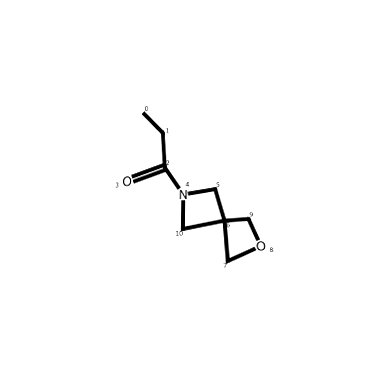 CCC(=O)N1CC2(COC2)C1